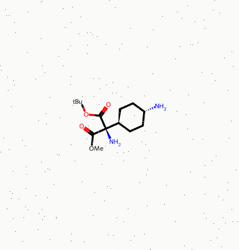 COC(=O)[C@](N)(C(=O)OC(C)(C)C)[C@H]1CC[C@H](N)CC1